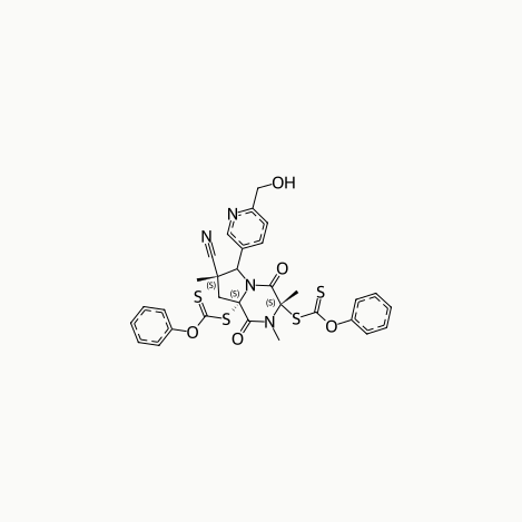 CN1C(=O)[C@@]2(SC(=S)Oc3ccccc3)C[C@](C)(C#N)C(c3ccc(CO)nc3)N2C(=O)[C@]1(C)SC(=S)Oc1ccccc1